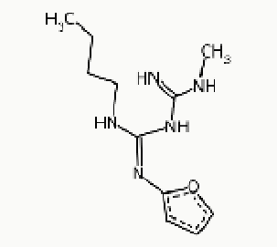 CCCCNC(=Nc1ccco1)NC(=N)NC